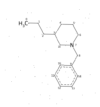 CCCC1CCCN(Cc2ccccc2)C1